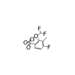 Cc1c(F)ccc(S(=O)(=O)Cl)c1OC(F)F